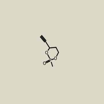 C#CC1CCOP(C)(=O)O1